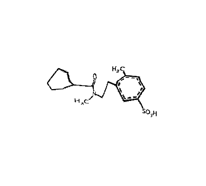 Cc1ccc(S(=O)(=O)O)cc1CCN(C)C(=O)C1CCCCC1